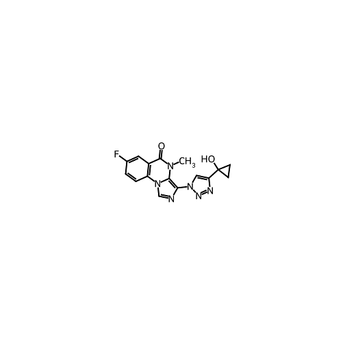 Cn1c(=O)c2cc(F)ccc2n2cnc(-n3cc(C4(O)CC4)nn3)c12